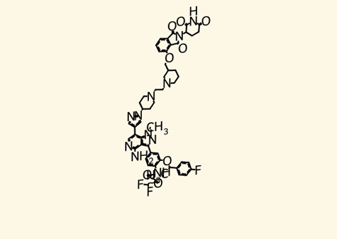 C[C@H](Oc1cc(-c2nn(C)c3c(-c4cnn(C5CCN(CCN6CCCC(COc7cccc8c7C(=O)N(C7CCC(=O)NC7=O)C8=O)C6)CC5)c4)cnc(N)c23)ccc1NS(=O)(=O)C(F)F)c1ccc(F)cc1